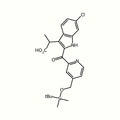 CC(C(=O)O)c1c(C(=O)c2cc(CO[Si](C)(C)C(C)(C)C)ccn2)[nH]c2cc(Cl)ccc12